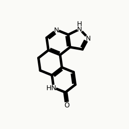 O=c1ccc2c([nH]1)CCc1cnc3[nH]ncc3c1-2